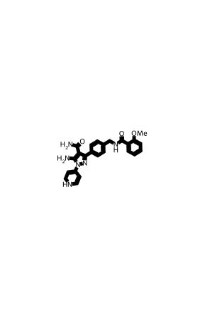 COc1ccccc1C(=O)NCc1ccc(-c2nn(C3=CCNC=C3)c(N)c2C(N)=O)cc1